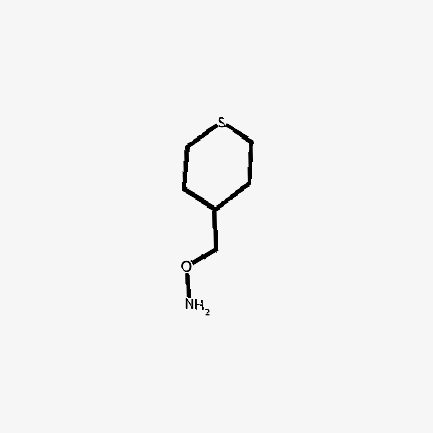 NOCC1CCSCC1